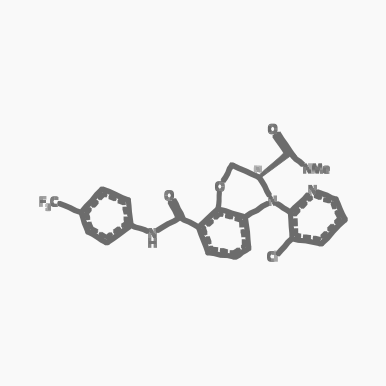 CNC(=O)[C@@H]1COc2c(C(=O)Nc3ccc(C(F)(F)F)cc3)cccc2N1c1ncccc1Cl